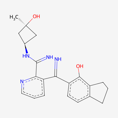 C[C@]1(O)C[C@@H](NC(=N)c2ncccc2C(=N)c2ccc3c(c2O)CCC3)C1